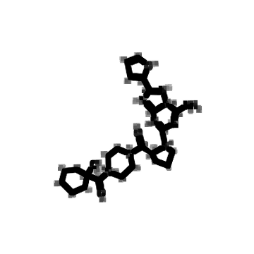 Nc1nc(N2CCC[C@H]2C(=O)N2CCN(C(=O)C3(C(F)(F)F)CCCCC3)CC2)nc2nc(-c3ccco3)nn12